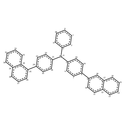 c1ccc(N(c2ccc(-c3ccc4ccccc4c3)cc2)c2ccc(-c3cccc4ccccc34)cc2)cc1